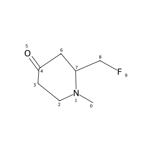 CN1CCC(=O)CC1CF